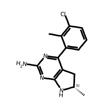 Cc1c(Cl)cccc1-c1nc(N)nc2c1C[C@H](C)N2